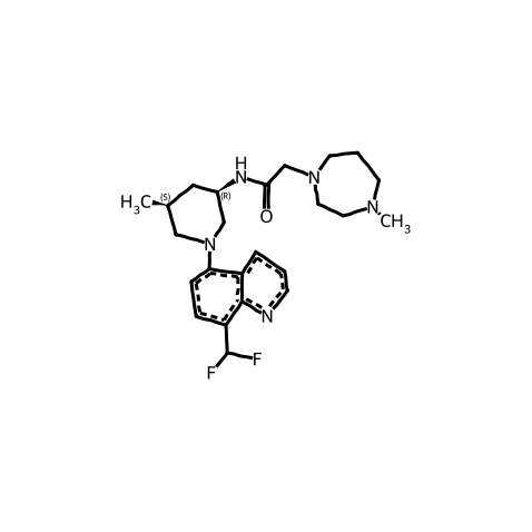 C[C@H]1C[C@@H](NC(=O)CN2CCCN(C)CC2)CN(c2ccc(C(F)F)c3ncccc23)C1